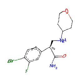 NC(=O)[C@H](CNC1CCOCC1)c1ccc(Br)c(F)c1